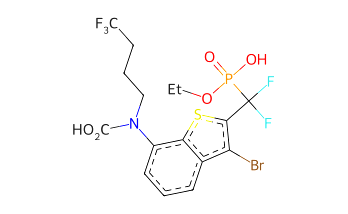 CCOP(=O)(O)C(F)(F)c1sc2c(N(CCCC(F)(F)F)C(=O)O)cccc2c1Br